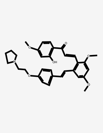 COc1ccc(C(=O)/C=C/c2c(/C=C/c3ccc(OCCN4CCCC4)cc3)cc(OC)cc2OC)c(O)c1